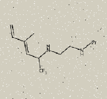 C=C/C(C)=C/C(NCCNC(C)C)C(F)(F)F